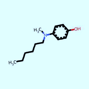 CCCCCCN(C)c1ccc(O)cc1